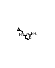 Nc1nccc(NCC2CC2)n1